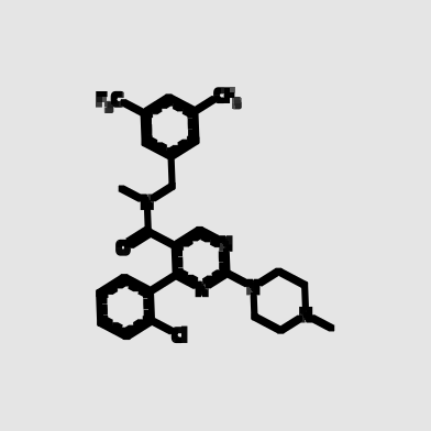 CN1CCN(c2ncc(C(=O)N(C)Cc3cc(C(F)(F)F)cc(C(F)(F)F)c3)c(-c3ccccc3Cl)n2)CC1